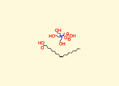 CC(OS(=O)(=O)O)[N+](CCO)(CCO)CCO.CCCCCCCC/C=C\CCCCCCCC(=O)O